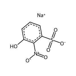 O=[N+]([O-])c1c(O)cccc1S(=O)(=O)[O-].[Na+]